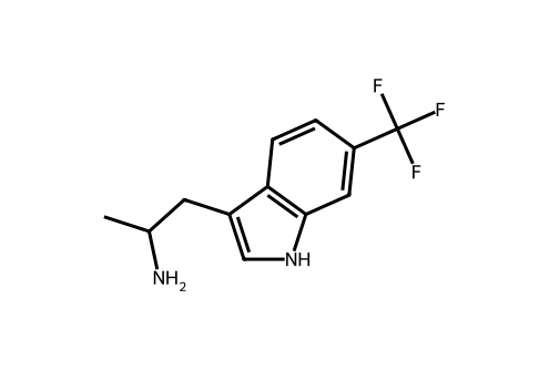 CC(N)Cc1c[nH]c2cc(C(F)(F)F)ccc12